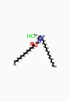 CCCCCCCCCCCCCCCC1N(C)CCN1CCOC(=O)CCCCCCCCCCCCC.Cl